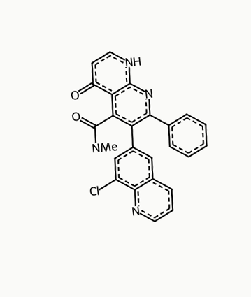 CNC(=O)c1c(-c2cc(Cl)c3ncccc3c2)c(-c2ccccc2)nc2[nH]ccc(=O)c12